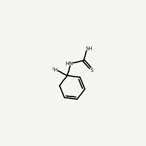 [2H]C1(NC(=S)S)C=CC=CC1